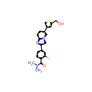 CN(C)C(=O)c1ccc(-c2cn3cc(-c4csc(CO)c4)ccc3n2)cc1F